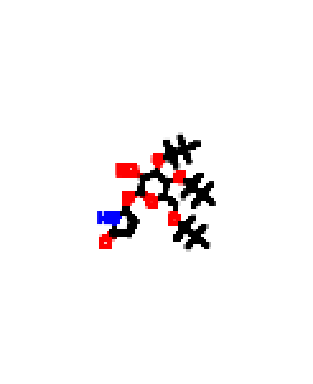 CC(C)(C)[Si](C)(C)OC[C@H]1OC(OC2C=CC(=O)N2)[C@H](O)[C@@H](O[Si](C)(C)C(C)(C)C)[C@@H]1O[Si](C)(C)C(C)(C)C